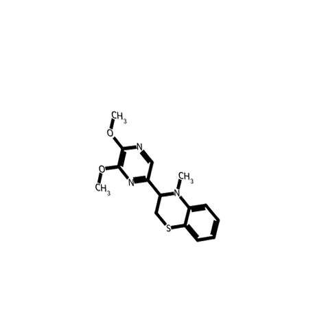 COc1ncc(C2CSc3ccccc3N2C)nc1OC